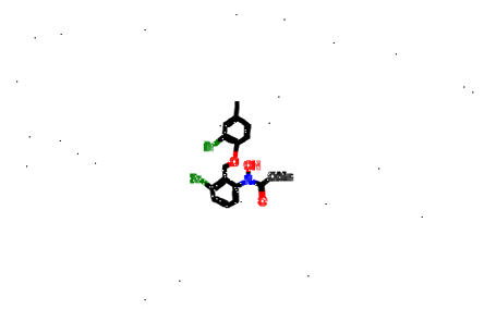 COC(=O)N(O)c1cccc(Br)c1COc1ccc(C)cc1Br